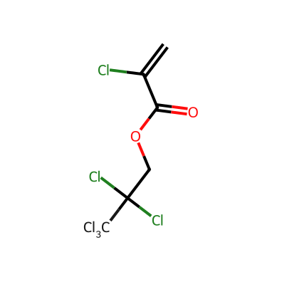 C=C(Cl)C(=O)OCC(Cl)(Cl)C(Cl)(Cl)Cl